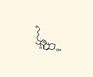 CC(C)CCC[C@@H](C)[C@H]1CC[C@H]2C3=CC=C4C[C@@H](O)CC[C@@]4(C)[C@H]3CC[C@]12C